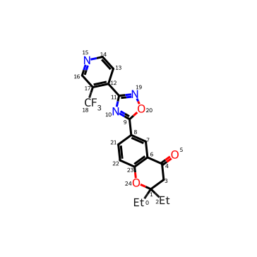 CCC1(CC)CC(=O)c2cc(-c3nc(-c4ccncc4C(F)(F)F)no3)ccc2O1